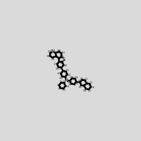 c1ccc(N(c2ccc(-c3ccc4ccccc4c3)cc2)c2ccc(-c3ccc4c(c3)sc3ccc5ncccc5c34)cc2)cc1